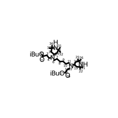 CC(C)COC(=O)CCN(CCCCCCN(CCC(=O)OCC(C)C)C1CC(C)(C)NC(C)(C)C1)C1CC(C)(C)NC(C)(C)C1